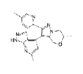 Cc1ccc(-c2nn3c(c2-c2cc(C)nc4[nH]ncc24)CO[C@@H](C)C3)nc1